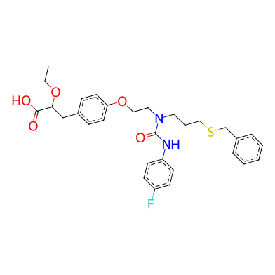 CCOC(Cc1ccc(OCCN(CCCSCc2ccccc2)C(=O)Nc2ccc(F)cc2)cc1)C(=O)O